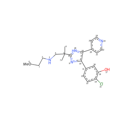 COCCNCC(C)(C)c1nc(-c2ccc(Cl)c(O)c2)c(-c2ccncc2)[nH]1